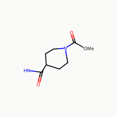 COC(=O)N1CCC(C([NH])=O)CC1